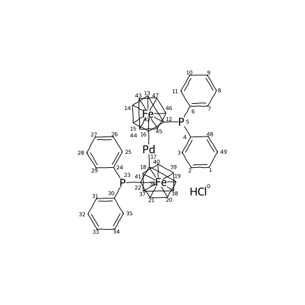 Cl.c1ccc(P(c2ccccc2)[C]23[CH]4[CH]5[CH]6[C]2([Pd][C]27[CH]8[CH]9[CH]%10[C]2(P(c2ccccc2)c2ccccc2)[Fe]98%1072%11%12%13[CH]7[CH]2[CH]%11[CH]%12[CH]7%13)[Fe]56432789[CH]3[CH]2[CH]7[CH]8[CH]39)cc1